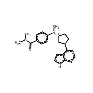 CN(C)C(=O)c1ccc(N(C)[C@@H]2CCN(c3ncnc4[nH]ccc34)C2)nc1